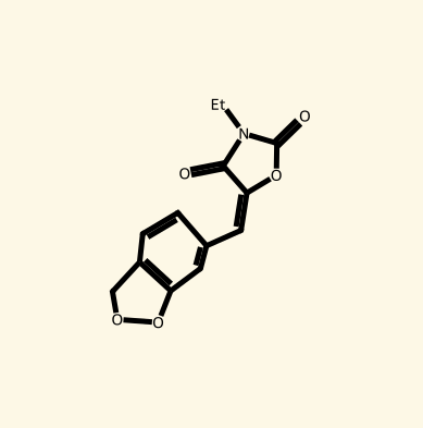 CCN1C(=O)O/C(=C/c2ccc3c(c2)OOC3)C1=O